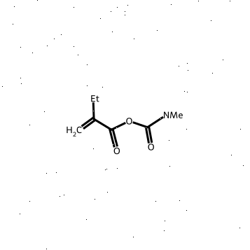 C=C(CC)C(=O)OC(=O)NC